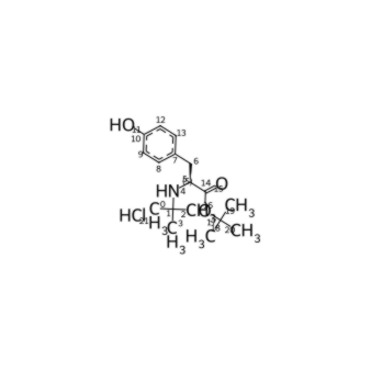 CC(C)(C)N[C@@H](Cc1ccc(O)cc1)C(=O)OC(C)(C)C.Cl